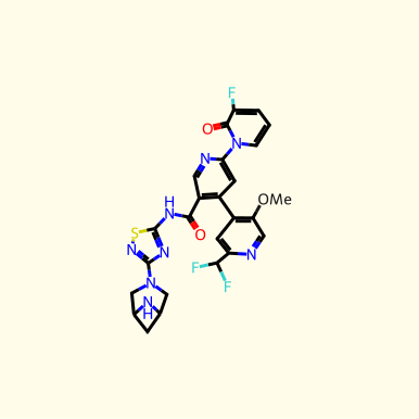 COc1cnc(C(F)F)cc1-c1cc(-n2cccc(F)c2=O)ncc1C(=O)Nc1nc(N2CC3CC(C2)N3)ns1